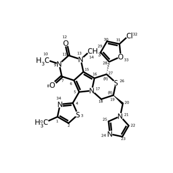 Cc1csc(-c2c3c(=O)n(C)c(=O)n(C)c3c3n2C[C@H](Cn2ccnc2)S[C@H]3c2ccc(Cl)o2)n1